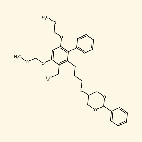 CCc1c(OCOC)cc(OCOC)c(-c2ccccc2)c1CCCOC1COC(c2ccccc2)OC1